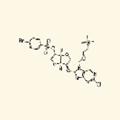 C[Si](C)(C)CCOCn1c(O[C@@H]2CO[C@H]3[C@@H]2OC[C@H]3OS(=O)(=O)c2ccc(Br)cc2)nc2nc(Cl)ncc21